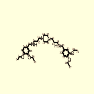 CCOc1ccc(CNCCCN2CCN(CCCNCc3ccc(OCC)c(OCC)c3)CC2)cc1OCC